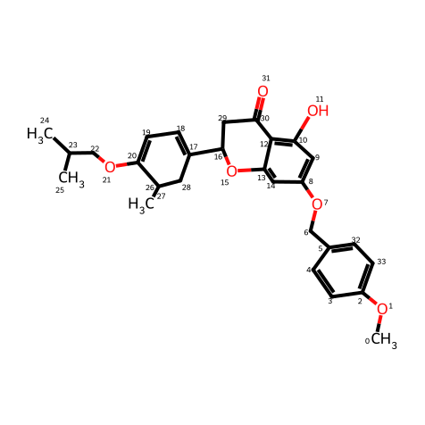 COc1ccc(COc2cc(O)c3c(c2)OC(C2=CC=C(OCC(C)C)C(C)C2)CC3=O)cc1